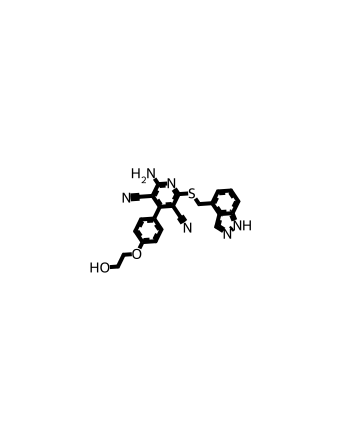 N#Cc1c(N)nc(SCc2cccc3[nH]ncc23)c(C#N)c1-c1ccc(OCCO)cc1